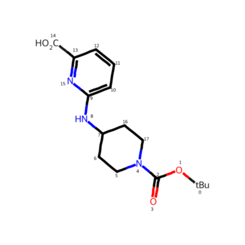 CC(C)(C)OC(=O)N1CCC(Nc2cccc(C(=O)O)n2)CC1